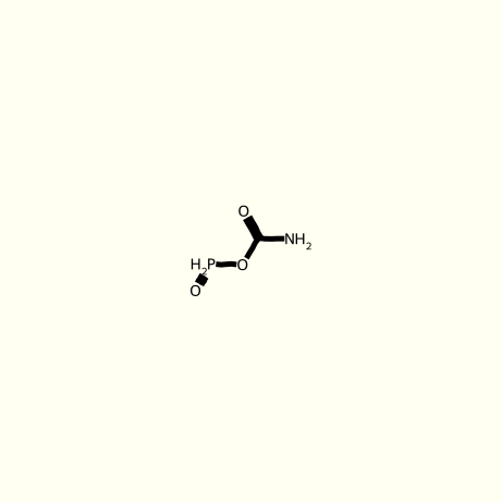 NC(=O)O[PH2]=O